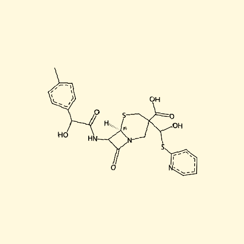 Cc1ccc(C(O)C(=O)NC2C(=O)N3CC(C(=O)O)(C(O)Sc4ccccn4)CS[C@H]23)cc1